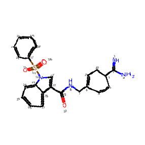 N=C(N)C1C=CC(CNC(=O)c2cn(S(=O)(=O)c3ccccc3)c3ccccc23)=CC1